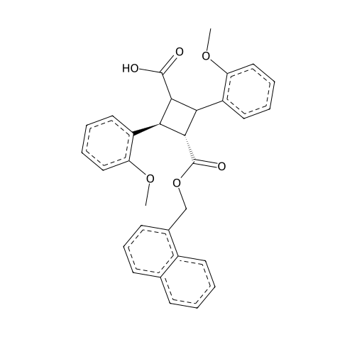 COc1ccccc1C1C(C(=O)O)[C@H](c2ccccc2OC)[C@H]1C(=O)OCc1cccc2ccccc12